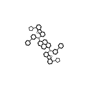 c1ccc(-c2cccc(N(c3ccc4ccc5c(N(c6cccc(-c7ccccc7)c6)c6cccc7c6oc6c(C8CCCC8)cccc67)ccc6ccc3c4c65)c3cccc4c3oc3c(C5CCCC5)cccc34)c2)cc1